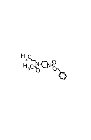 C=CCN(C(C)=O)C1CCN(C(=O)OCc2ccccc2)CC1